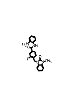 Cn1c(=O)n(Cc2ccc(C(=O)Nc3ccccc3N)cc2F)c2ccccc21